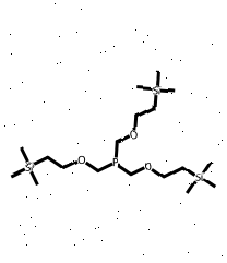 C[Si](C)(C)CCOCP(COCC[Si](C)(C)C)COCC[Si](C)(C)C